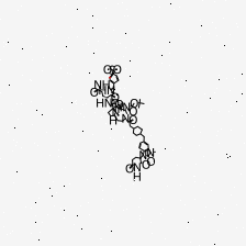 Cn1c(=O)n(C2CCC(=O)NC2=O)c2ccc(CC3CCC(CC(=O)N4CC[C@H]5CC[C@@H](C(=O)N[C@@H](CCC(N)=O)C(=O)NCc6ccc(S(C)(=O)=O)cc6)N5C(=O)[C@@H](NC(=O)OC(C)(C)C)C4)CC3)cc21